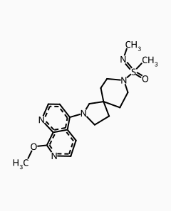 CN=S(C)(=O)N1CCC2(CCN(c3ccnc4c(OC)nccc34)C2)CC1